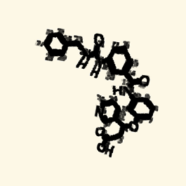 O=C(O)CC(Oc1cccc(NC(=O)c2cccc(NC(=O)NCc3ccccc3)c2)c1)c1cccnc1